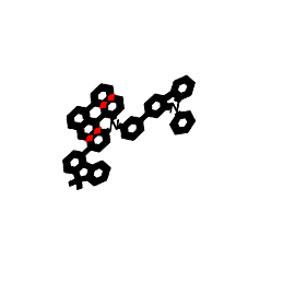 CC1(C)c2ccccc2-c2c(-c3ccc(N(c4cccc(-c5ccc6c7ccccc7n(-c7ccccc7)c6c5)c4)c4ccccc4-c4cccc5cccc(-c6ccccc6)c45)cc3)cccc21